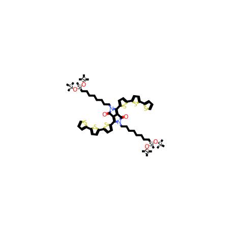 C[Si](C)(C)O[Si](C)(CCCCCCCCN1C(=O)C2=C(c3ccc(-c4ccc(-c5cccs5)s4)s3)N(CCCCCCCC[Si](C)(O[Si](C)(C)C)O[Si](C)(C)C)C(=O)C2=C1c1ccc(-c2ccc(-c3cccs3)s2)s1)O[Si](C)(C)C